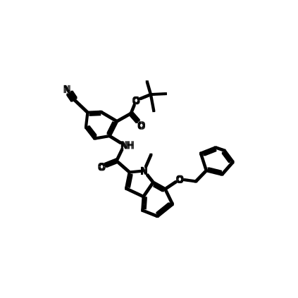 Cn1c(C(=O)Nc2ccc(C#N)cc2C(=O)OC(C)(C)C)cc2cccc(OCc3ccccc3)c21